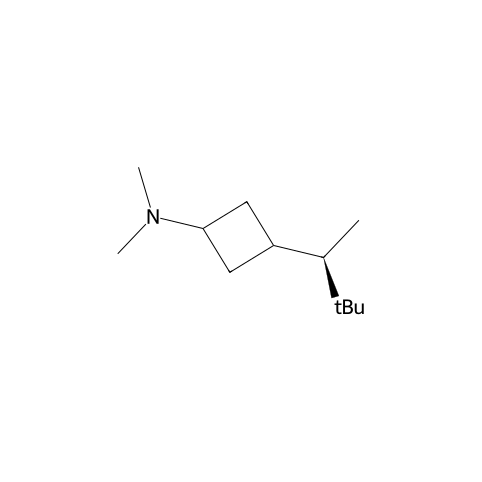 C[C@H](C1CC(N(C)C)C1)C(C)(C)C